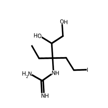 CCC(CCI)(NC(=N)N)C(O)CO